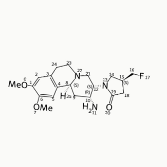 COc1cc2c(cc1OC)[C@@H]1C[C@@H](N)[C@@H](N3C[C@@H](CF)CC3=O)CN1CC2